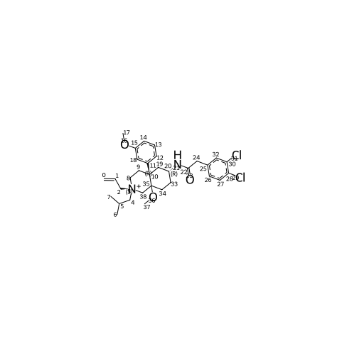 C=CC[N@@+]1(CC(C)C)CC[C@]2(c3cccc(OC)c3)C[C@H](NC(=O)Cc3ccc(Cl)c(Cl)c3)CCC2(OC)C1